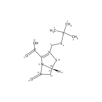 CC(C)(C)SCC1=C(C(=O)O)N2C(=O)C[C@H]2S1